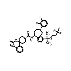 CC(C)(OCCC(F)(F)F)c1cnc2n1C[C@H](c1cccc(F)c1F)CC[C@H]2NC(=O)N1CCC2(CC1)OC(=O)Nc1ncccc12